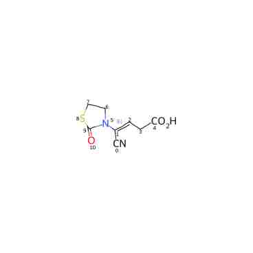 N#C/C(=C\CC(=O)O)N1CCSC1=O